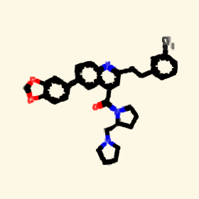 O=C(c1cc(CCc2cccc(C(F)(F)F)c2)nc2ccc(-c3ccc4c(c3)OCO4)cc12)N1CCC[C@H]1CN1CCCC1